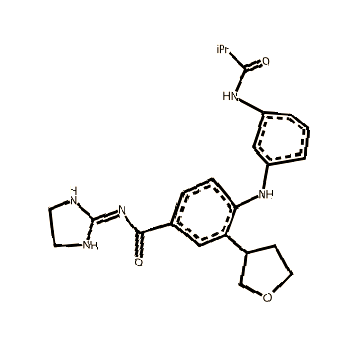 CC(C)C(=O)Nc1cccc(Nc2ccc(C(=O)N=C3NCCN3)cc2C2CCOC2)c1